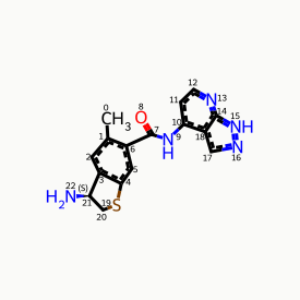 Cc1cc2c(cc1C(=O)Nc1ccnc3[nH]ncc13)SC[C@H]2N